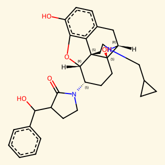 O=C1C(C(O)c2ccccc2)CCN1[C@H]1CC[C@@]2(O)[C@H]3Cc4ccc(O)c5c4[C@@]2(CCN3CC2CC2)[C@H]1O5